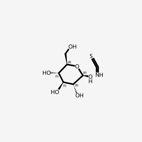 N=C=S.OC[C@H]1O[C@@H](O)[C@H](O)[C@@H](O)[C@@H]1O